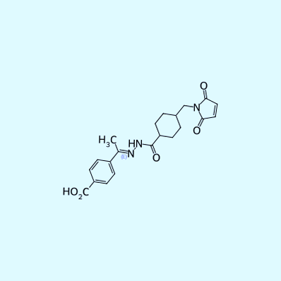 C/C(=N\NC(=O)C1CCC(CN2C(=O)C=CC2=O)CC1)c1ccc(C(=O)O)cc1